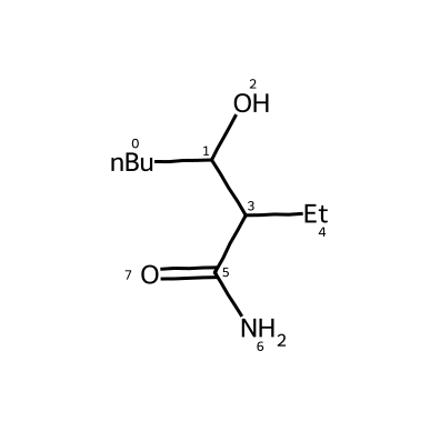 CCCCC(O)C(CC)C(N)=O